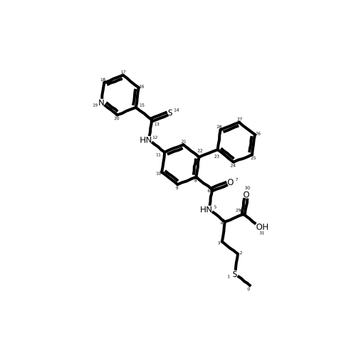 CSCCC(NC(=O)c1ccc(NC(=S)c2cccnc2)cc1-c1ccccc1)C(=O)O